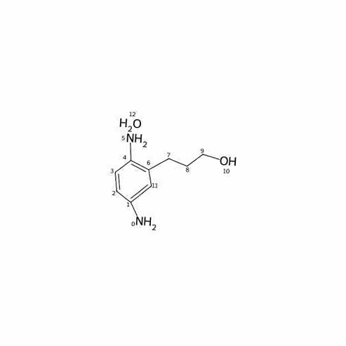 Nc1ccc(N)c(CCCO)c1.O